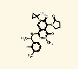 C[C@@H](Nc1nn(C)c(=O)c2c(N3CCCC3=O)c(=O)n(C3(C)CC3)cc12)c1cccc(C(F)(F)F)c1F